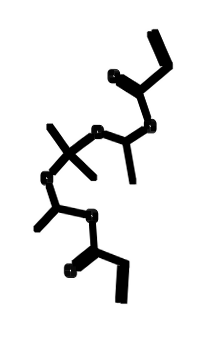 C=CC(=O)OC(C)OC(C)(C)OC(C)OC(=O)C=C